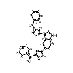 O=C(c1nc(-c2cnc3[nH]cc(-c4cnn(Cc5ccccc5)c4)c3c2)cs1)N1CCOCC1